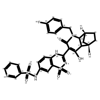 O=C1C(C2=NS(=O)(=O)c3cc(NS(=O)(=O)c4cccnc4)ccc3N2)=C(O)C2C([C@@H]3CC[C@H]2C3)N1Cc1ccc(F)cc1